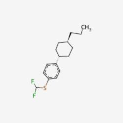 CCC[C@H]1CC[C@H](c2ccc(SC(F)F)cc2)CC1